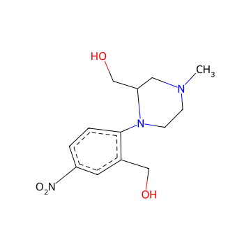 CN1CCN(c2ccc([N+](=O)[O-])cc2CO)C(CO)C1